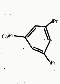 CC(C)c1cc(C(C)C)cc(C(C)C)c1.[Ca]